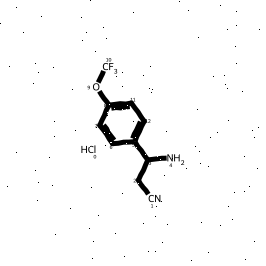 Cl.N#CCC(N)c1ccc(OC(F)(F)F)cc1